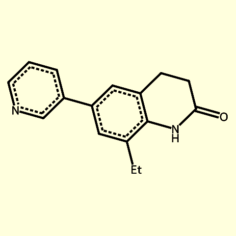 CCc1cc(-c2cccnc2)cc2c1NC(=O)CC2